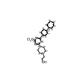 OCCN1CCN(c2nc(-c3ccc(-c4ccccc4)cc3)nc(C(Cl)(Cl)Cl)n2)CC1